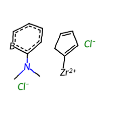 CN(C)c1bcccc1.[Cl-].[Cl-].[Zr+2][C]1=CC=CC1